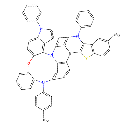 CC(C)(C)c1ccc(N2c3ccc4c(c3)N(c3cccc5c3B4c3sc4ccc(C(C)(C)C)cc4c3N5c3ccccc3)c3c(ccc4c3c3ccccc3n4-c3ccccc3)Oc3ccccc32)cc1